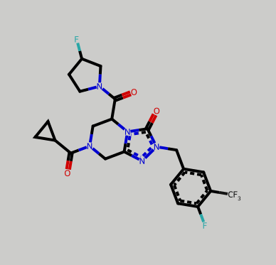 O=C(C1CC1)N1Cc2nn(Cc3ccc(F)c(C(F)(F)F)c3)c(=O)n2C(C(=O)N2CCC(F)C2)C1